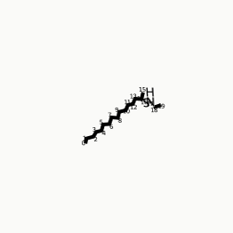 CCCCCCCCCCCCCCC(C)SNCC